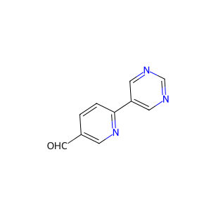 O=Cc1ccc(-c2cncnc2)nc1